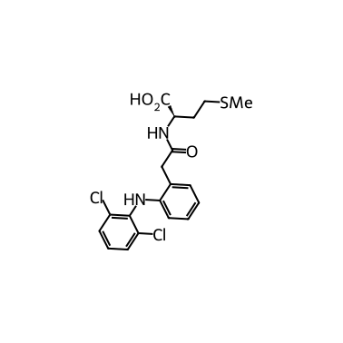 CSCC[C@@H](NC(=O)Cc1ccccc1Nc1c(Cl)cccc1Cl)C(=O)O